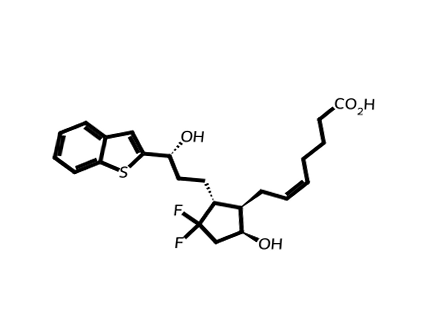 O=C(O)CCC/C=C\C[C@@H]1[C@@H](CC[C@@H](O)c2cc3ccccc3s2)C(F)(F)C[C@@H]1O